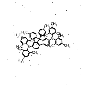 Cc1ccc(C2(c3ccc(C)cc3)c3cc(B(c4c(C)cc(C)cc4C)c4c(C)cc(C)cc4C)ccc3-c3ccc(B(c4c(C)cc(C)cc4C)c4c(C)cc(C)cc4C)cc32)cc1